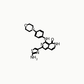 Nc1nc(-c2cc3cc[nH]c(=O)c3c(Nc3ccc(N4CCOCC4)cc3)n2)cs1